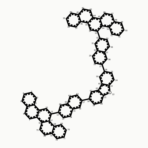 c1ccc2c(c1)ccc1c2cc(-c2ccc3cc(-c4ccc5oc6ccc(-c7ccc8cc(-c9cc%10c%11ccccc%11ccc%10c%10ccc%11ccccc%11c9%10)ccc8c7)cc6c5c4)ccc3c2)c2c3ccccc3ccc12